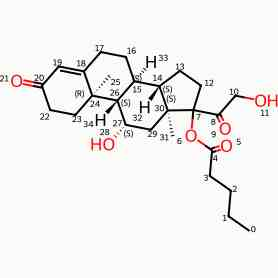 CCCCC(=O)OC1(C(=O)CO)CC[C@H]2[C@@H]3CCC4=CC(=O)CC[C@]4(C)[C@H]3[C@@H](O)C[C@@]21C